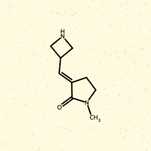 CN1CC/C(=C\C2CNC2)C1=O